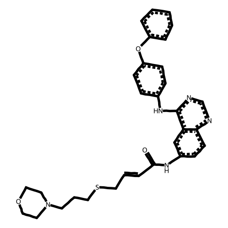 O=C(/C=C/CSCCCN1CCOCC1)Nc1ccc2ncnc(Nc3ccc(Oc4ccccc4)cc3)c2c1